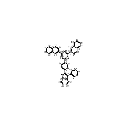 c1ccc(-c2c(-c3ccc(-c4nc(-c5ccc6ccccc6c5)nc(-c5ccc6ccccc6c5)n4)cc3)nc3ccccn23)cc1